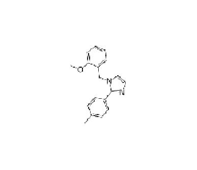 COc1ccccc1Cn1ccnc1-c1ccc(C)cc1